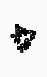 CN(CC1CCN(S(=O)(=O)Nc2ccc(Cl)cc2-c2nc3cc(C(F)(F)F)cc(Cl)c3[nH]2)CC1)C1CCN(Cc2cccc3c2n(C)c(=O)n3C2CCC(=O)NC2=O)CC1